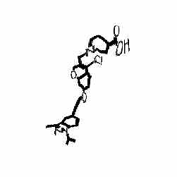 Cc1nn(C(C)C)c2ccc(COc3ccc4c(c3)OCC(CN3CCC(C(=O)O)CC3)=C4Cl)cc12